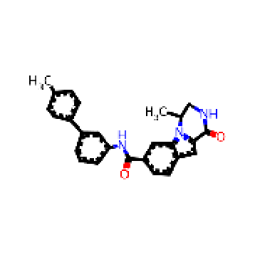 Cc1ccc(-c2cccc(NC(=O)c3ccc4cc5n(c4c3)C(C)CNC5=O)c2)cc1